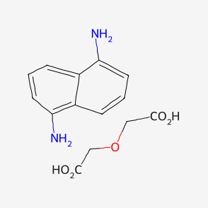 Nc1cccc2c(N)cccc12.O=C(O)COCC(=O)O